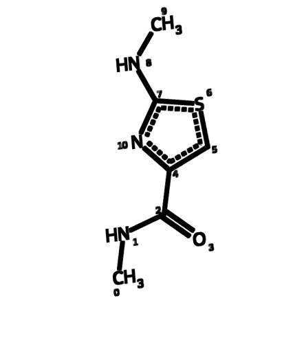 CNC(=O)c1csc(NC)n1